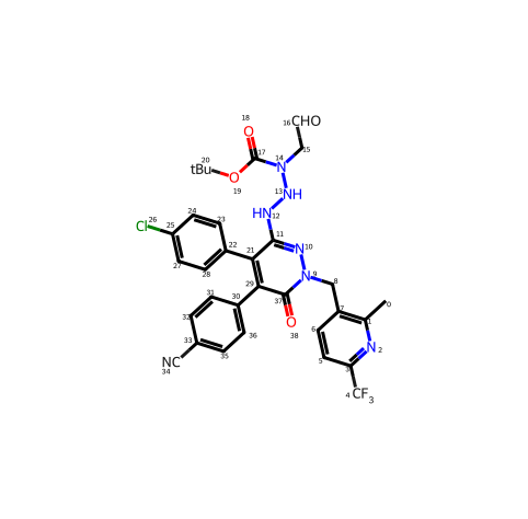 Cc1nc(C(F)(F)F)ccc1Cn1nc(NNN(CC=O)C(=O)OC(C)(C)C)c(-c2ccc(Cl)cc2)c(-c2ccc(C#N)cc2)c1=O